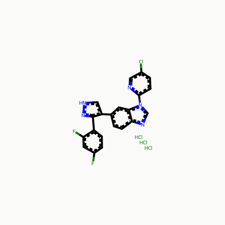 Cl.Cl.Cl.Fc1ccc(-c2n[nH]cc2-c2ccc3ncn(-c4ccc(Cl)cn4)c3c2)c(F)c1